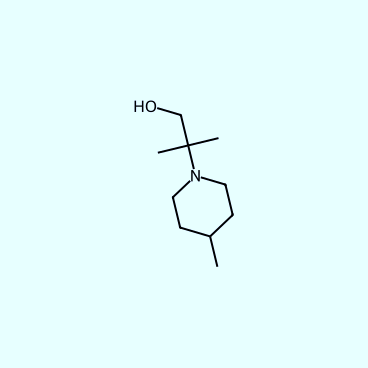 CC1CCN(C(C)(C)CO)CC1